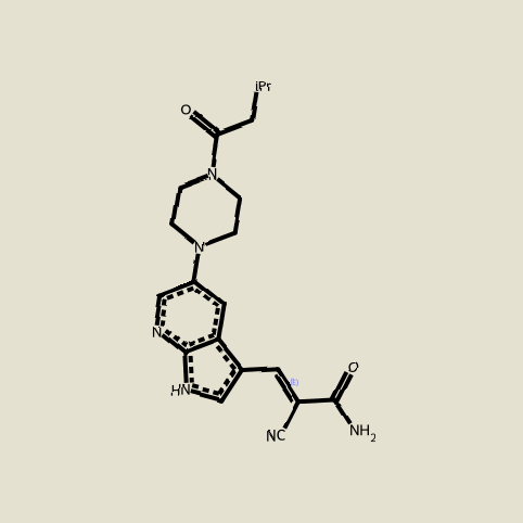 CC(C)CC(=O)N1CCN(c2cnc3[nH]cc(/C=C(\C#N)C(N)=O)c3c2)CC1